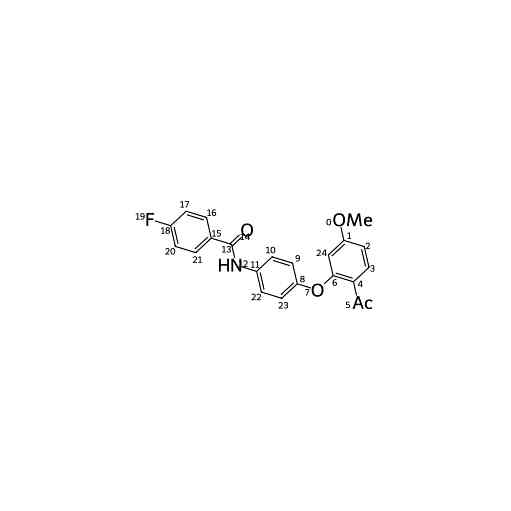 COc1ccc(C(C)=O)c(Oc2ccc(NC(=O)c3ccc(F)cc3)cc2)c1